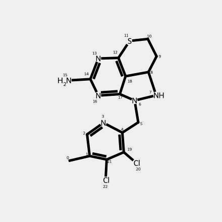 Cc1cnc(CN2NC3CCSc4nc(N)nc2c43)c(Cl)c1Cl